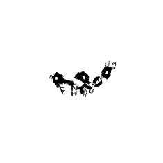 O=C(N1CCN(c2ccc(Cl)c(Cl)c2)CC1)[C@]1(Cc2ccccc2)C[C@H](NCc2ccc(F)cc2F)CN1